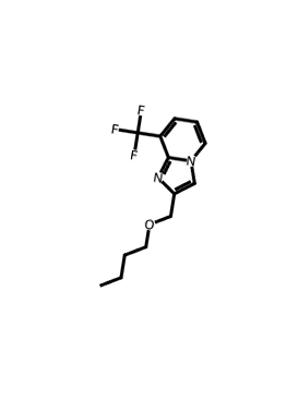 CCCCOCc1cn2cccc(C(F)(F)F)c2n1